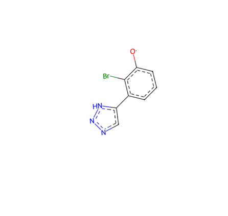 [O]c1cccc(-c2cnn[nH]2)c1Br